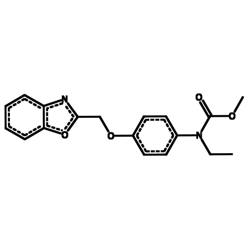 CCN(C(=O)OC)c1ccc(OCc2nc3ccccc3o2)cc1